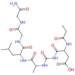 CCC(=O)NC(CC(=O)O)C(=O)NC(=O)NC(C)C(=O)NC(CC(C)C)C(=O)NCC(=O)NCC(N)=O